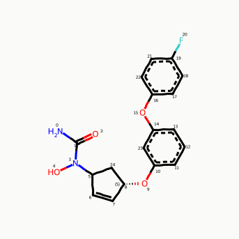 NC(=O)N(O)C1C=C[C@@H](Oc2cccc(Oc3ccc(F)cc3)c2)C1